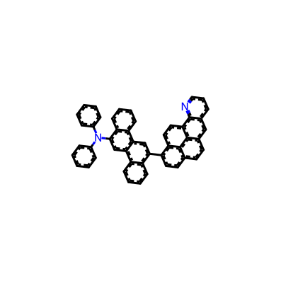 c1ccc(N(c2ccccc2)c2cc3c4ccccc4c(-c4ccc5ccc6cc7cccnc7c7ccc4c5c67)cc3c3ccccc23)cc1